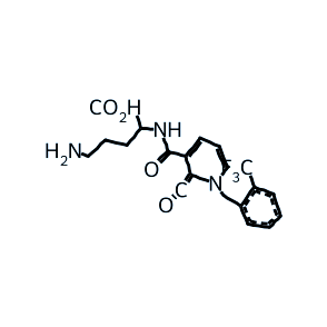 NCCCC(NC(=O)C1=CC=CN(Cc2ccccc2C(F)(F)F)C1=C=O)C(=O)O